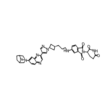 CN1C2CCC1CN(c1ccc3ncc(-c4cnn([C@H]5C[C@H](CCCNc6ccc7c(c6)C(=O)N(C6CCC(=O)NC6=O)C7=O)C5)c4)nc3c1)C2